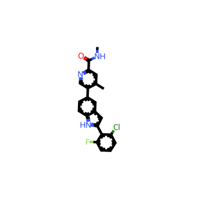 CNC(=O)c1cc(C)c(-c2ccc3[nH]c(-c4c(F)cccc4Cl)cc3c2)cn1